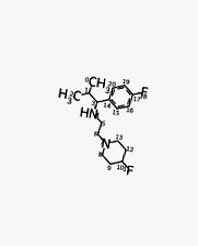 CC(C)[C@H](NCCN1CCC(F)CC1)c1ccc(F)cc1